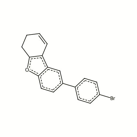 Brc1ccc(-c2ccc3oc4c(c3c2)C=CCC4)cc1